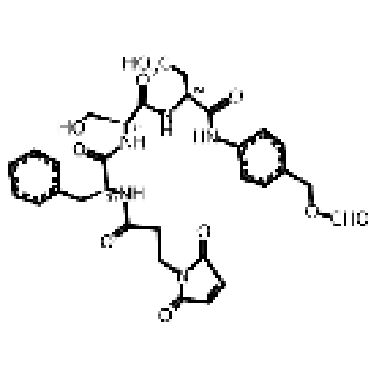 O=COCc1ccc(NC(=O)[C@H](CC(=O)O)NC(=O)[C@H](CO)NC(=O)[C@H](Cc2ccccc2)NC(=O)CCN2C(=O)C=CC2=O)cc1